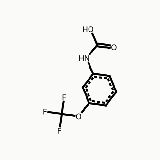 O=C(O)Nc1cccc(OC(F)(F)F)c1